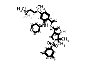 CN(C)CCN(C)c1ccc(C(=O)Nc2n[nH]c3c2CN(S(=O)(=O)c2cc(F)cc(F)c2)C3(C)C)c(NC2CCOCC2)c1